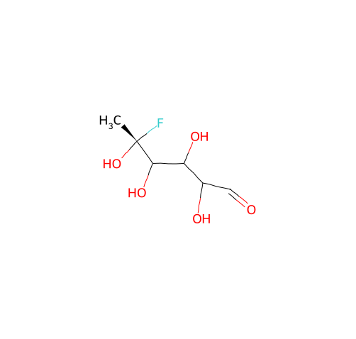 C[C@@](O)(F)C(O)C(O)C(O)C=O